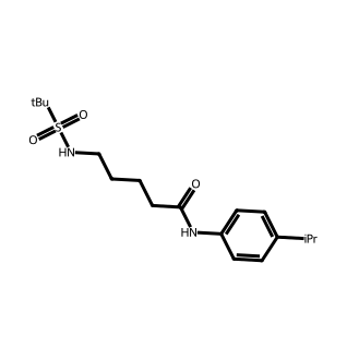 CC(C)c1ccc(NC(=O)CCCCNS(=O)(=O)C(C)(C)C)cc1